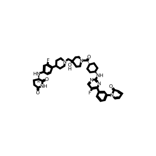 O=C1CC[C@@H](Nc2ccc(C3CCN(CC4(O)CCN(C(=O)[C@H]5CC[C@H](Nc6ncc(F)c(-c7cccc(-n8ccccc8=O)c7)n6)CC5)CC4)CC3)c(F)c2)C(=O)N1